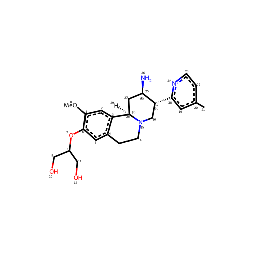 COc1cc2c(cc1OC(CO)CO)CCN1C[C@@H](c3cc(C)ccn3)[C@H](N)C[C@H]21